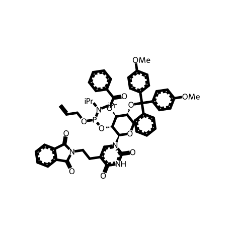 C=CCOP(O[C@@H]1[C@H](OC(=O)c2ccccc2)[C@H](OC(c2ccccc2)(c2ccc(OC)cc2)c2ccc(OC)cc2)CO[C@H]1n1cc(CCN2C(=O)c3ccccc3C2=O)c(=O)[nH]c1=O)N(C(C)C)C(C)C